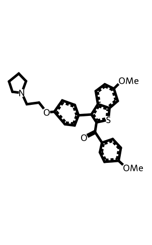 COc1ccc(C(=O)c2sc3cc(OC)ccc3c2-c2ccc(OCCN3CCCC3)cc2)cc1